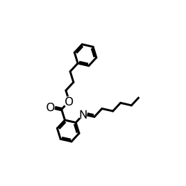 CCCCCC=Nc1ccccc1C(=O)OCCCc1ccccc1